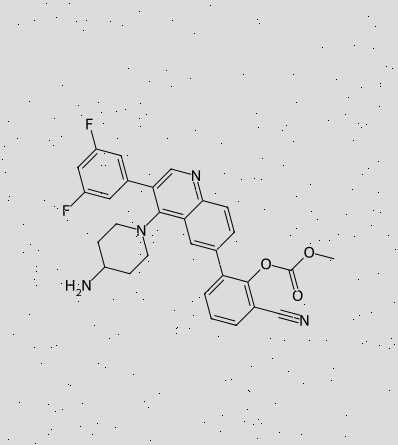 COC(=O)Oc1c(C#N)cccc1-c1ccc2ncc(-c3cc(F)cc(F)c3)c(N3CCC(N)CC3)c2c1